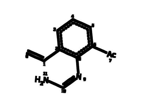 C=Cc1cccc(C(C)=O)c1/N=C\N